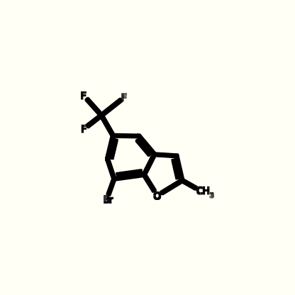 Cc1cc2cc(C(F)(F)F)cc(Br)c2o1